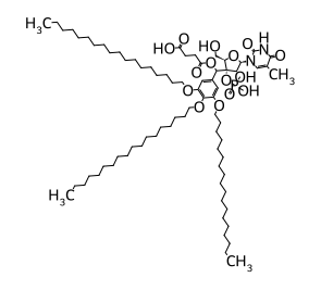 CCCCCCCCCCCCCCCCCCOc1cc(C(OC(=O)CCC(=O)O)[C@]2(OP(=O)(O)O)C[C@H](n3cc(C)c(=O)[nH]c3=O)O[C@@H]2CO)cc(OCCCCCCCCCCCCCCCCCC)c1OCCCCCCCCCCCCCCCCCC